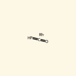 O=C=P.[Rh]